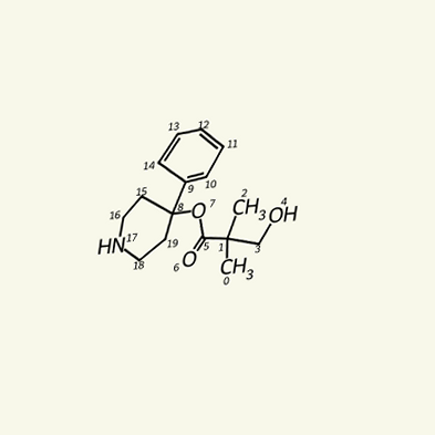 CC(C)(CO)C(=O)OC1(c2ccccc2)CCNCC1